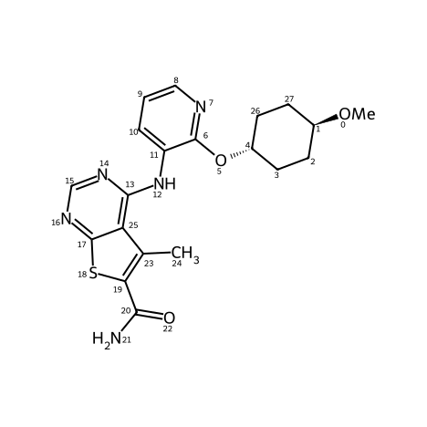 CO[C@H]1CC[C@H](Oc2ncccc2Nc2ncnc3sc(C(N)=O)c(C)c23)CC1